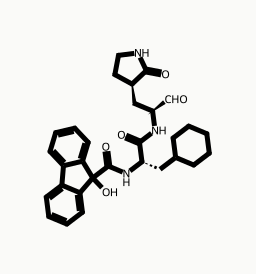 O=C[C@H](C[C@H]1CCNC1=O)NC(=O)[C@H](CC1CCCCC1)NC(=O)C1(O)c2ccccc2-c2ccccc21